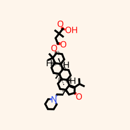 CC(C)C1=C2[C@H]3CC[C@@H]4[C@@]5(C)CC[C@H](OC(=O)CC(C)(C)C(=O)O)C(C)(C)[C@@H]5CC[C@@]4(C)[C@]3(C)CC[C@@]2(CCN2CCCCC2)CC1=O